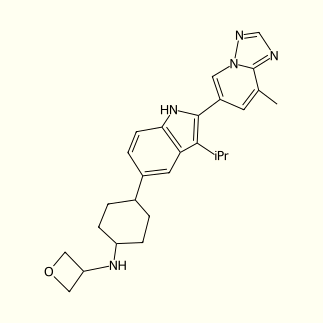 Cc1cc(-c2[nH]c3ccc(C4CCC(NC5COC5)CC4)cc3c2C(C)C)cn2ncnc12